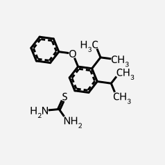 CC(C)c1cccc(Oc2ccccc2)c1C(C)C.NC(N)=S